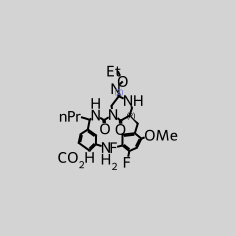 CCCC(NC(=O)N1C/C(=N/OCC)NC[C@@H](Cc2cc(F)c(F)cc2OC)C1=O)c1ccc(C(=O)O)c(N)c1